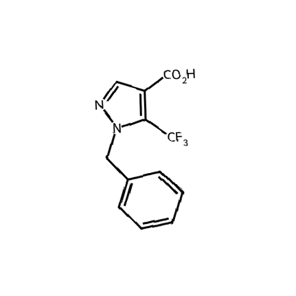 O=C(O)c1cnn(Cc2ccccc2)c1C(F)(F)F